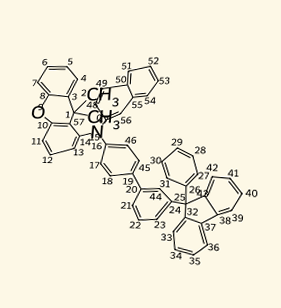 CC1(C)c2ccccc2Oc2cccc(N(c3ccc(-c4cccc(C5(c6ccccc6)c6ccccc6-c6ccccc65)c4)cc3)c3ccc4ccccc4c3)c21